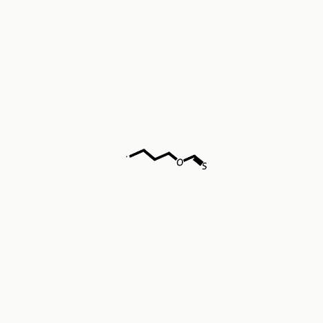 [CH2]CCCOC=S